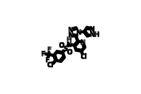 O=S(=O)(Nc1cc(Cl)cnc1-c1nncn1-c1cn[nH]c1)c1ccc(Cl)c(C(F)(F)F)c1